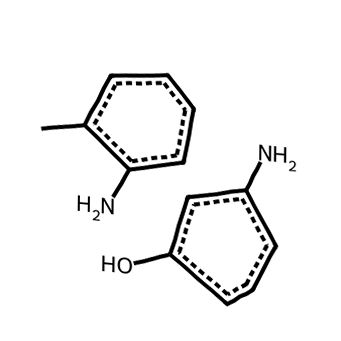 Cc1ccccc1N.Nc1cccc(O)c1